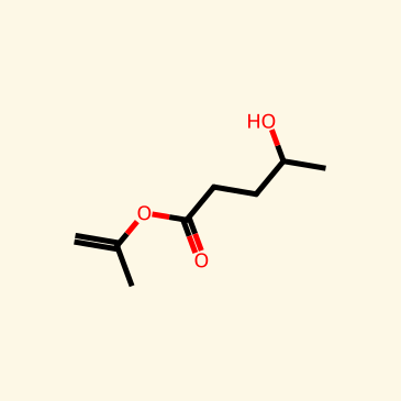 C=C(C)OC(=O)CCC(C)O